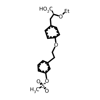 CCO[C@@H](Cc1ccc(OCCc2cccc(OS(C)(=O)=O)c2)cc1)C(=O)O